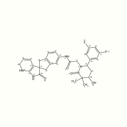 CC1(C)C(=O)N(CC(=O)Nc2ccc3c(c2)CC2(C3)C(=O)NC3=C2C=CCN3)C(c2cc(F)cc(F)c2)CC1O